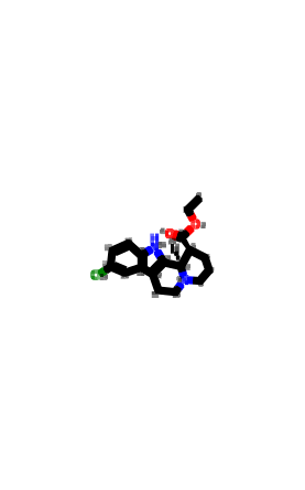 CCOC(=O)[C@H]1CCCN2CCc3c([nH]c4ccc(Cl)cc34)[C@@H]12